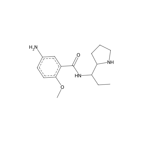 CCC(NC(=O)c1cc(N)ccc1OC)C1CCCN1